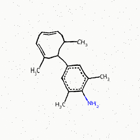 CC1=CC=CC(C)C1c1cc(C)c(N)c(C)c1